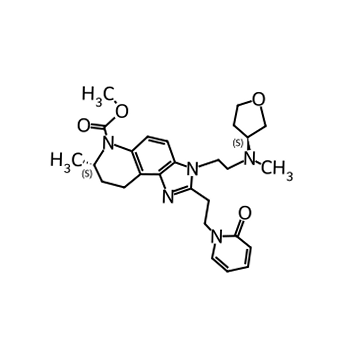 COC(=O)N1c2ccc3c(nc(CCn4ccccc4=O)n3CCN(C)[C@H]3CCOC3)c2CC[C@@H]1C